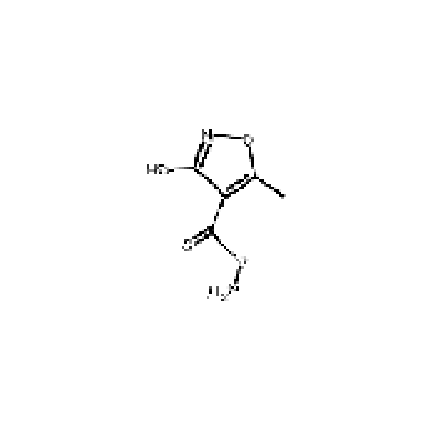 Cc1onc(O)c1C(=O)ON